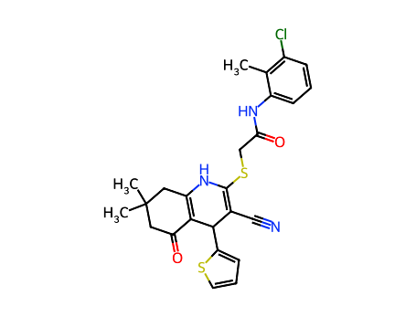 Cc1c(Cl)cccc1NC(=O)CSC1=C(C#N)C(c2cccs2)C2=C(CC(C)(C)CC2=O)N1